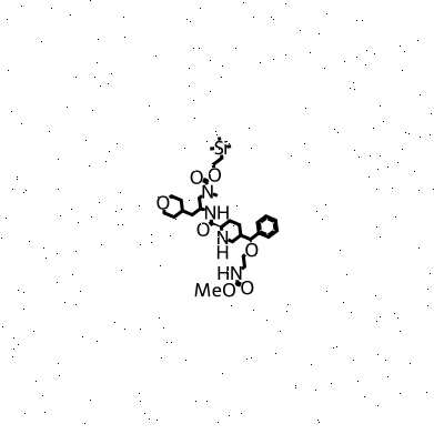 COC(=O)NCCO[C@@H](c1ccccc1)C1CC[C@H](C(=O)NC(CC2CCOCC2)CN(C)C(=O)OCC[Si](C)(C)C)NC1